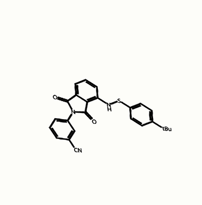 CC(C)(C)c1ccc(SNc2cccc3c2C(=O)N(c2cccc(C#N)c2)C3=O)cc1